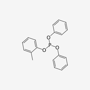 Cc1ccccc1OP(Oc1ccccc1)Oc1ccccc1